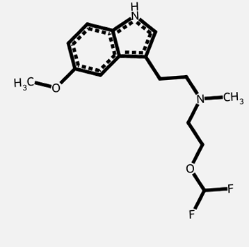 COc1ccc2[nH]cc(CCN(C)CCOC(F)F)c2c1